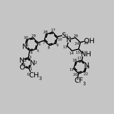 Cc1nc(-c2cc(-c3ccc(SN4CCC(Nc5ccc(C(F)(F)F)cn5)C(O)C4)cc3)ccn2)no1